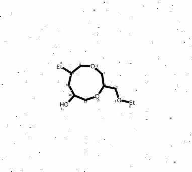 CCOCC1COCC(CC)CC(O)CO1